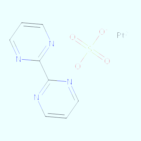 O=S(=O)([O-])[O-].[Pt+2].c1cnc(-c2ncccn2)nc1